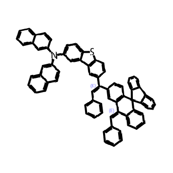 C(=C(/c1ccc2c(c1)/C(=C/c1ccccc1)c1ccccc1C21c2ccccc2-c2ccccc21)c1ccc2sc3ccc(N(c4ccc5ccccc5c4)c4ccc5ccccc5c4)cc3c2c1)/c1ccccc1